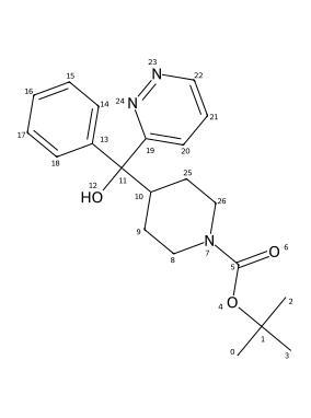 CC(C)(C)OC(=O)N1CCC(C(O)(c2ccccc2)c2cccnn2)CC1